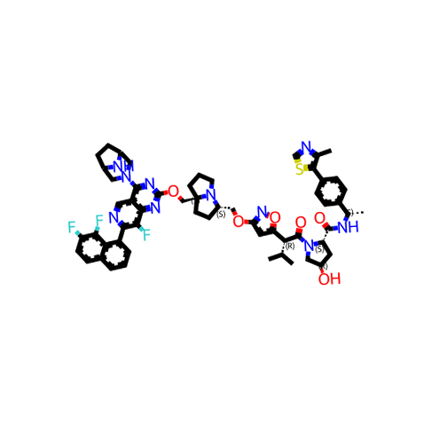 Cc1ncsc1-c1ccc([C@H](C)NC(=O)[C@@H]2C[C@@H](O)CN2C(=O)[C@@H](c2cc(OC[C@@H]3CC[C@]4(COc5nc(N6CC7CCC(C6)N7)c6cnc(-c7cccc8ccc(F)c(F)c78)c(F)c6n5)CCCN34)no2)C(C)C)cc1